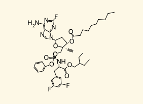 C#C[C@]1(CO[P@@](=O)(NC(Cc2cc(F)cc(F)c2)C(=O)OCC(CC)CC)Oc2ccccc2)O[C@@H](n2cnc3c(N)nc(F)nc32)C[C@@H]1OC(=O)CCCCCCCCC